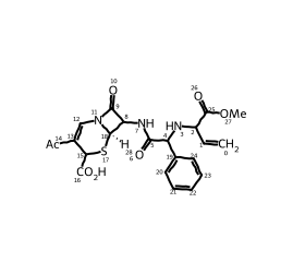 C=CC(NC(C(=O)NC1C(=O)N2C=C(C(C)=O)C(C(=O)O)S[C@H]12)c1ccccc1)C(=O)OC